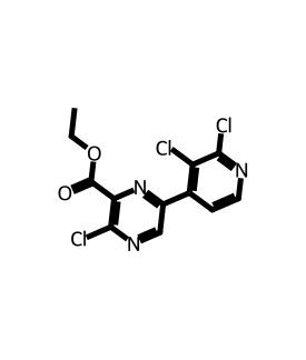 CCOC(=O)c1nc(-c2ccnc(Cl)c2Cl)cnc1Cl